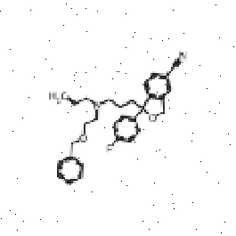 C=CCN(CCCC1(c2ccc(F)cc2)OCc2cc(C#N)ccc21)CCOCc1ccccc1